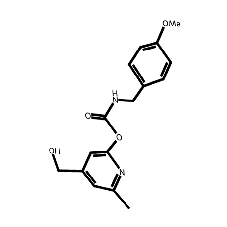 COc1ccc(CNC(=O)Oc2cc(CO)cc(C)n2)cc1